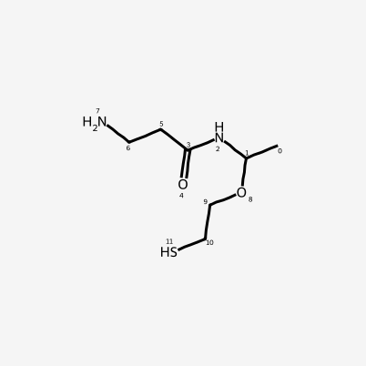 CC(NC(=O)CCN)OCCS